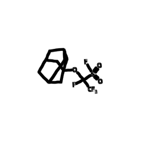 O=S(=O)(F)C(F)(OC12CC3CC(CC(C3)C1)C2)C(F)(F)F